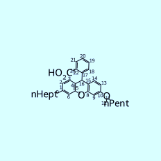 CCCCCCCc1ccc2c(c1)Oc1cc(OCCCCC)ccc1C2c1ccccc1C(=O)O